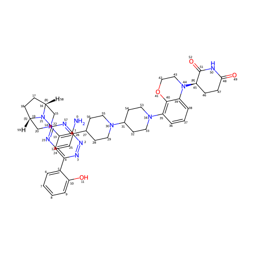 Nc1nnc(-c2ccccc2O)cc1N1C[C@H]2CC[C@@H](C1)N2c1nccc(C2CCN(C3CCN(c4cccc5c4OCCN5[C@@H]4CCC(=O)NC4=O)CC3)CC2)n1